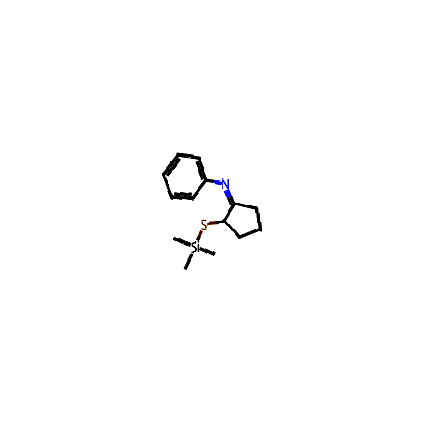 C[Si](C)(C)SC1CCCC1=Nc1ccccc1